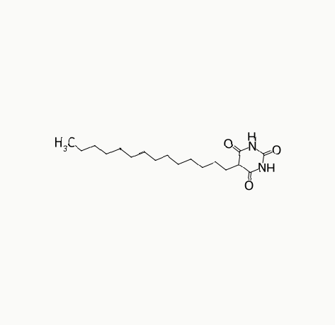 CCCCCCCCCCCCCCC1C(=O)NC(=O)NC1=O